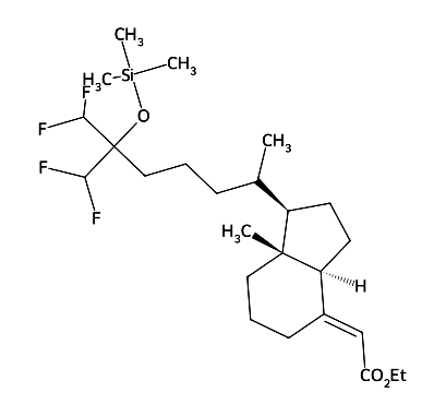 CCOC(=O)C=C1CCC[C@]2(C)[C@@H](C(C)CCCC(O[Si](C)(C)C)(C(F)F)C(F)F)CC[C@@H]12